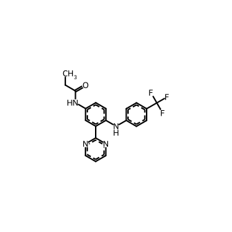 CCC(=O)Nc1ccc(Nc2ccc(C(F)(F)F)cc2)c(-c2ncccn2)c1